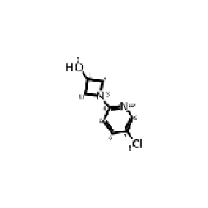 OC1CN(c2ccc(Cl)cn2)C1